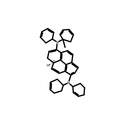 CC1(N(C2=CC[C@@H]3C=Cc4c(N(C5C=CCCC5)C5CC=CCC5)ccc5ccc2c3c45)C2C=CC=CC2)C=CC=CC1